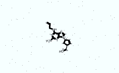 CCCNc1nc(N)nc2c1ncn2[C@H]1C=C[C@@H](CO)C1